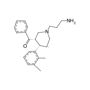 Cc1cccc([C@H]2[CH]CN(CCCN)C[C@H]2C(=O)c2ccccc2)c1C